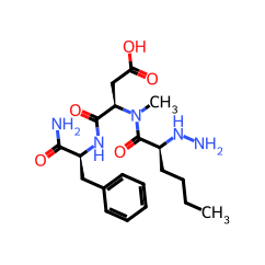 CCCC[C@H](NN)C(=O)N(C)[C@H](CC(=O)O)C(=O)N[C@@H](Cc1ccccc1)C(N)=O